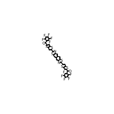 O=C(c1cc2sc(-c3nc4cc5cc6sc(-c7cc8sc(C(=O)c9c(F)c(F)c(F)c(F)c9F)cc8s7)nc6cc5cc4s3)cc2s1)c1c(F)c(F)c(F)c(F)c1F